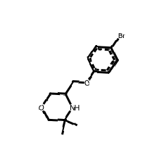 CC1(C)COCC(COc2ccc(Br)cc2)N1